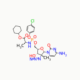 C[C@H](NP(=O)(OC[C@H]1OC(n2ccc(N)nc2=O)[C@](C)(N=[N+]=[N-])[C@@H]1O)Oc1ccc(Cl)cc1)C(=O)OC1CCCCC1